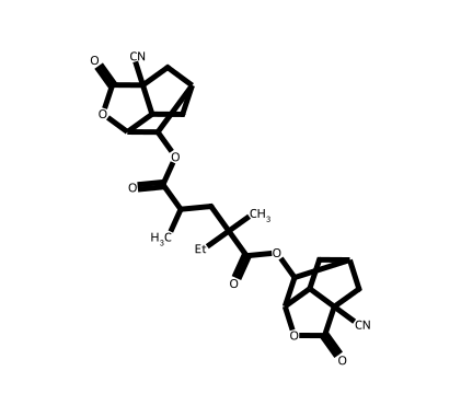 CCC(C)(CC(C)C(=O)OC1C2CC3C1OC(=O)C3(C#N)C2)C(=O)OC1C2CC3C1OC(=O)C3(C#N)C2